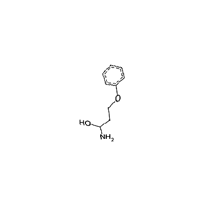 NC(O)CCOc1ccccc1